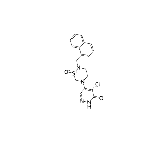 O=c1[nH]ncc(N2CCN(Cc3cccc4ccccc34)[S+]([O-])C2)c1Cl